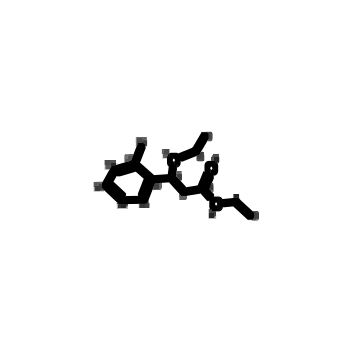 CCOC(=O)CC(OCC)c1ccccc1C